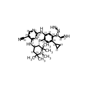 CN1C(C)(C)CC(Nc2nc(Nc3cc(N(C=N)N=N)c(C4CC4)cc3F)ncc2C#N)CC1(C)C